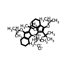 C[SiH](C)OC1=C(C(C)(C)C)[CH]([Zr+2]([CH]2C3=C(CCCC3)C(O[SiH](C)C)=C2C(C)(C)C)[SiH](C)C)C2=C1CCCC2.[Cl-].[Cl-]